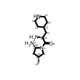 N[C@@H]1C[C@H](F)CN1C(=O)[C@@H](N)CC1CCNCC1